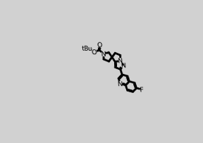 CC(C)(C)OC(=O)N1CCC2(CCn3nc(-c4cnc5ccc(F)cc5c4)cc32)C1